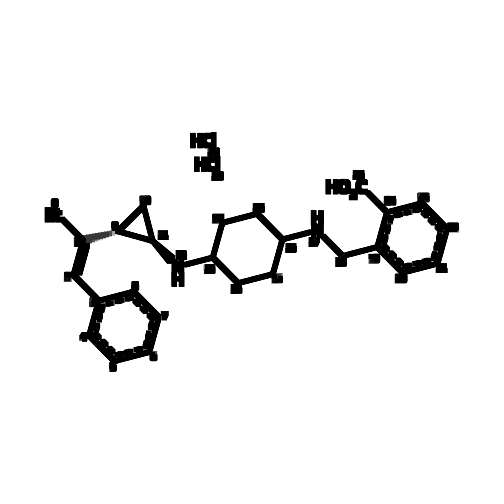 CCC(=Cc1ccccc1)[C@@H]1C[C@H]1NC1CCC(NCc2ccccc2C(=O)O)CC1.Cl.Cl